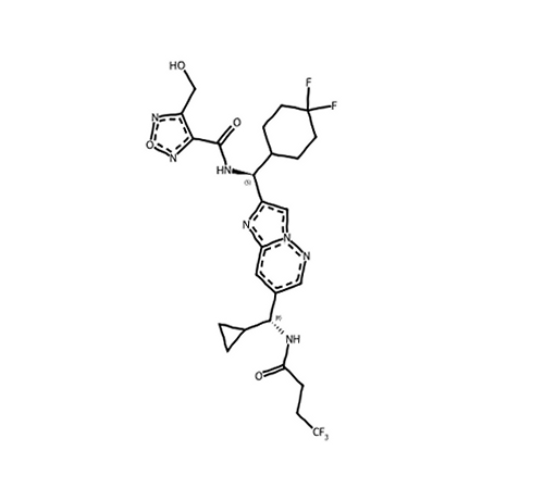 O=C(CCC(F)(F)F)N[C@@H](c1cnn2cc([C@@H](NC(=O)c3nonc3CO)C3CCC(F)(F)CC3)nc2c1)C1CC1